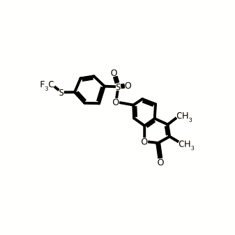 Cc1c(C)c2ccc(OS(=O)(=O)c3ccc(SC(F)(F)F)cc3)cc2oc1=O